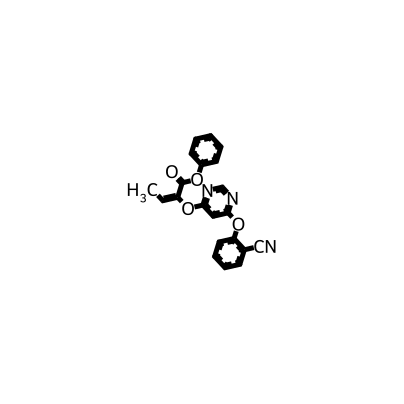 CC=C(Oc1cc(Oc2ccccc2C#N)ncn1)C(=O)Oc1ccccc1